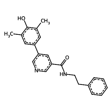 Cc1cc(-c2cncc(C(=O)NCCc3ccccc3)c2)cc(C)c1O